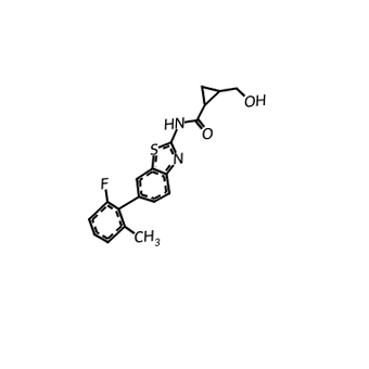 Cc1cccc(F)c1-c1ccc2nc(NC(=O)C3CC3CO)sc2c1